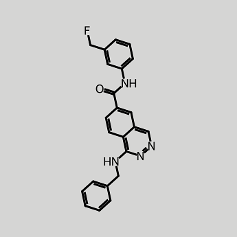 O=C(Nc1cccc(CF)c1)c1ccc2c(NCc3ccccc3)nncc2c1